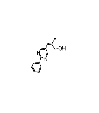 OC/C(F)=C\c1cnc(-c2ccccc2)nc1